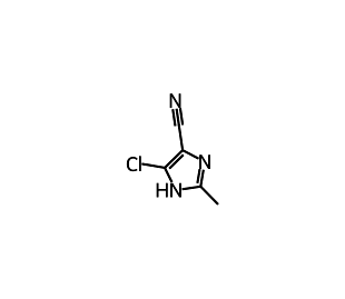 Cc1nc(C#N)c(Cl)[nH]1